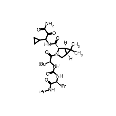 CC(C)NC(=O)[C@@H](NC(=O)N[C@H](C(=O)N1C[C@H]2[C@@H]([C@H]1C(=O)NC(C(=O)C(N)=O)C1CC1)C2(C)C)C(C)(C)C)C(C)C